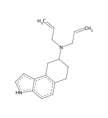 C=CCN(CC=C)C1CCc2ccc3[nH]ccc3c2C1